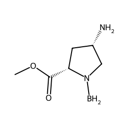 BN1C[C@@H](N)C[C@H]1C(=O)OC